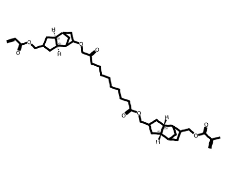 C=CC(=O)OCC1C[C@@H]2C3CC(CC3OCC(=O)CCCCCCCCC(=O)OCC3C[C@@H]4C5CC(CC5COC(=O)C(=C)C)[C@@H]4C3)[C@@H]2C1